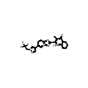 Cc1c(-c2nc3ccc(-c4cnn(CC(F)(F)F)c4)cn3n2)[nH]c2ccccc2c1=O